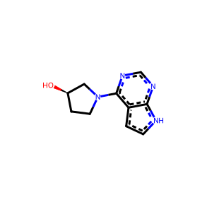 O[C@@H]1CCN(c2ncnc3[nH]ccc23)C1